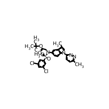 Cc1ccc(-n2cc(C)c3cc(N(CC(=O)OC(C)(C)C)S(=O)(=O)c4cc(Cl)cc(Cl)c4)ccc32)nn1